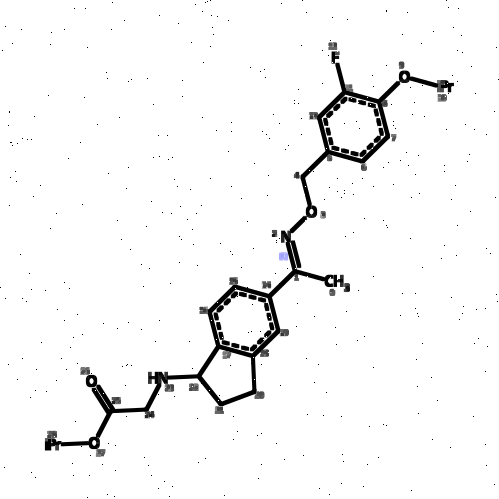 C/C(=N\OCc1ccc(OC(C)C)c(F)c1)c1ccc2c(c1)CCC2NCC(=O)OC(C)C